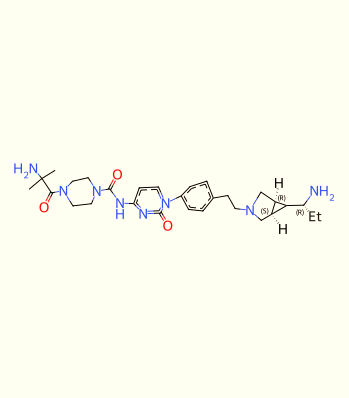 CC[C@@H](N)C1[C@H]2CN(CCc3ccc(-n4ccc(NC(=O)N5CCN(C(=O)C(C)(C)N)CC5)nc4=O)cc3)C[C@@H]12